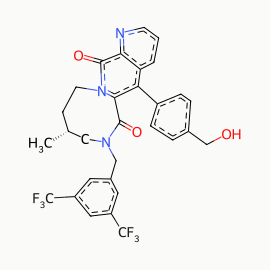 C[C@@H]1CCn2c(c(-c3ccc(CO)cc3)c3cccnc3c2=O)C(=O)N(Cc2cc(C(F)(F)F)cc(C(F)(F)F)c2)C1